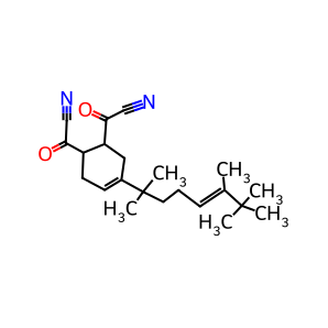 C/C(=C\CCC(C)(C)C1=CCC(C(=O)C#N)C(C(=O)C#N)C1)C(C)(C)C